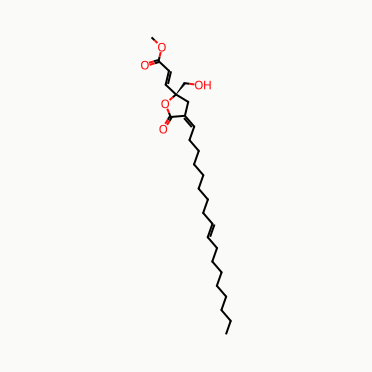 CCCCCCCCC=CCCCCCCCC=C1C[C@](C=CC(=O)OC)(CO)OC1=O